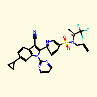 C=CCN([C@@H](C)C(F)(F)F)S(=O)(=O)c1ccc(-c2c(C#N)c3ccc(C4CC4)cc3n2-c2ncccn2)nc1